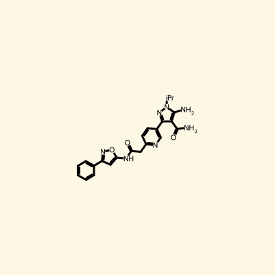 CC(C)n1nc(-c2ccc(CC(=O)Nc3cc(-c4ccccc4)no3)nc2)c(C(N)=O)c1N